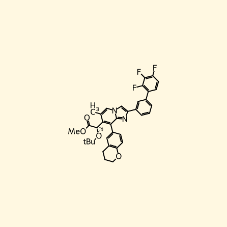 COC(=O)[C@H](OC(C)(C)C)c1c(C)cn2cc(-c3cccc(-c4ccc(F)c(F)c4F)c3)nc2c1-c1ccc2c(c1)CCCO2